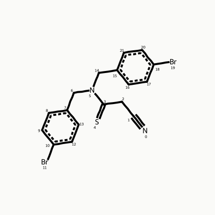 N#CCC(=S)N(Cc1ccc(Br)cc1)Cc1ccc(Br)cc1